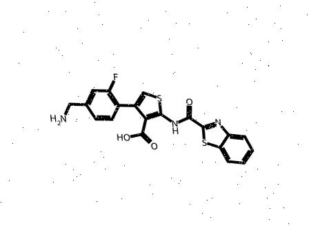 NCc1ccc(-c2csc(NC(=O)c3nc4ccccc4s3)c2C(=O)O)c(F)c1